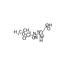 CC(C)Oc1ccc(-c2nc(-c3ncc(CCC(=O)O)c4cc[nH]c34)no2)cc1Cl